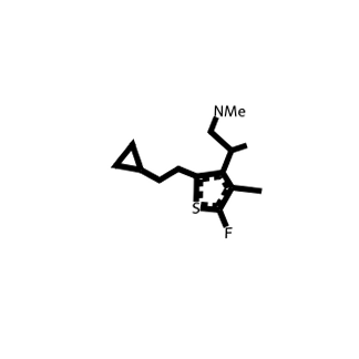 CNCC(C)c1c(CCC2CC2)sc(F)c1C